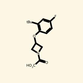 CC(C)(C)c1cc(F)ccc1OC1CN(C(=O)C(=O)O)C1